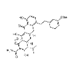 COC1=CCCC(CCc2ccc(O)c3c2C[C@H]2C[C@H]4[C@H](N(C)C)C(O)=C(C(N)=O)C(=O)[C@@]4(OI)C(O)=C2C3=O)=C1